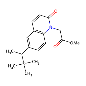 COC(=O)Cn1c(=O)ccc2cc(C(C)[Si](C)(C)C)ccc21